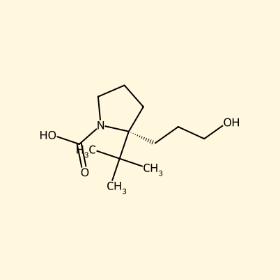 CC(C)(C)[C@]1(CCCO)CCCN1C(=O)O